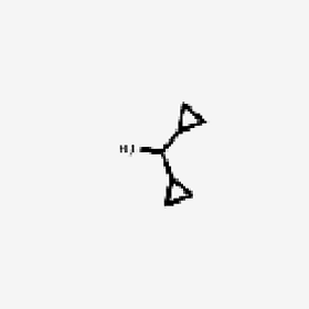 C[C](C1CC1)C1CC1